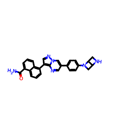 NC(=O)c1cccc2c(-c3cnn4cc(-c5ccc(N6CC7NCC76)cc5)cnc34)cccc12